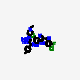 CCN1CCC(N2C=C(C(Nc3cc(Cl)c4ncc(C#N)c(Nc5ccc(F)c(Cl)c5)c4c3)c3ccc(C)cc3)NN2)CC1